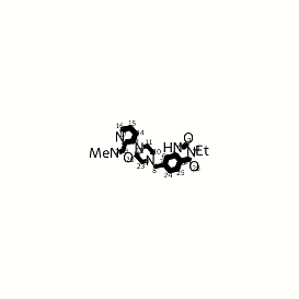 CCn1c(=O)[nH]c2cc(CN3CCN(c4cccnc4C(=O)NC)CC3)ccc2c1=O